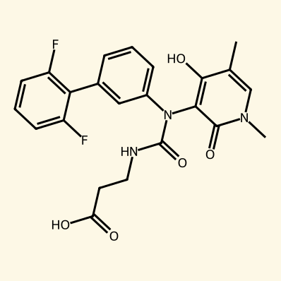 Cc1cn(C)c(=O)c(N(C(=O)NCCC(=O)O)c2cccc(-c3c(F)cccc3F)c2)c1O